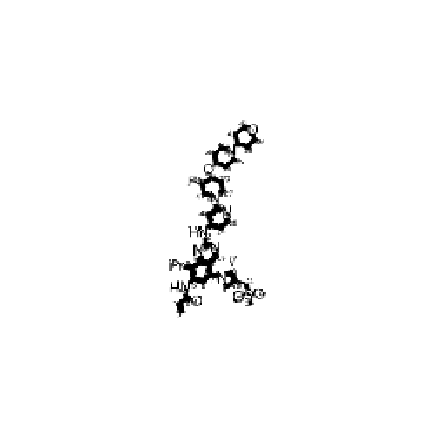 C=CC(=O)Nc1cc(N2C[C@H](CS(C)(=O)=O)[C@H]2C)c2cnc(Nc3ccnc(N4CC[C@@H](OC5CCN(C6CCOCC6)CC5)[C@@H](F)C4)c3)nc2c1C(C)C